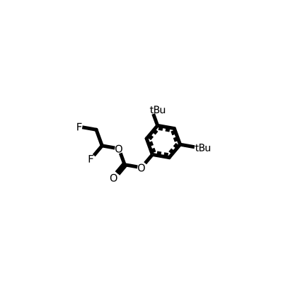 CC(C)(C)c1cc(OC(=O)OC(F)CF)cc(C(C)(C)C)c1